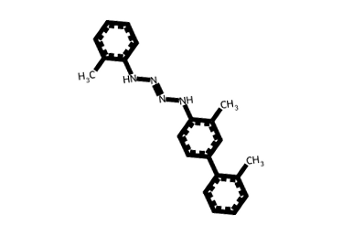 Cc1ccccc1NN=NNc1ccc(-c2ccccc2C)cc1C